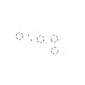 Nc1nccc(-c2cccnc2Oc2cc(F)c(NS(=O)(=O)Cc3cc(F)ccc3F)c(F)c2F)n1